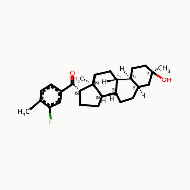 Cc1ccc(C(=O)[C@H]2CC[C@H]3[C@@H]4CC[C@@H]5C[C@](C)(O)CC[C@@H]5[C@H]4CC[C@]23C)cc1F